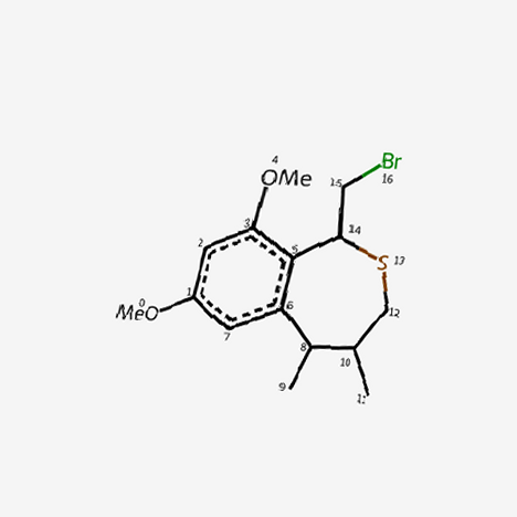 COc1cc(OC)c2c(c1)C(C)C(C)CSC2CBr